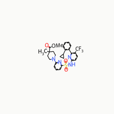 COC(=O)C1(C)CCN(c2cccc(S(=O)(=O)Nc3ccc(C(F)(F)F)c(-c4ccccc4C4CC4)n3)n2)CC1